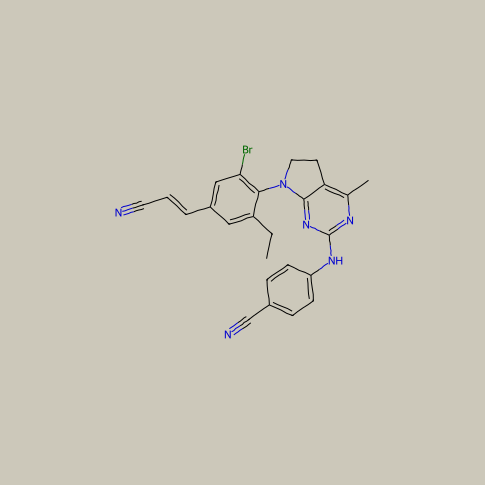 CCc1cc(/C=C/C#N)cc(Br)c1N1CCc2c(C)nc(Nc3ccc(C#N)cc3)nc21